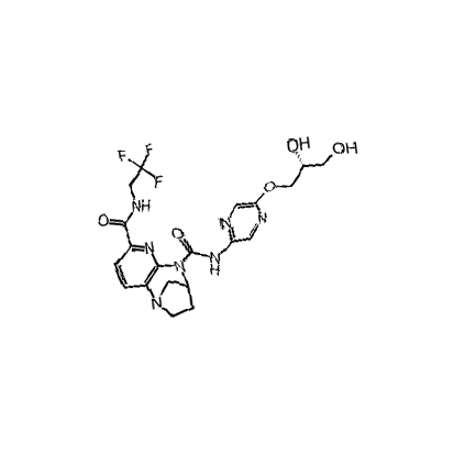 O=C(NCC(F)(F)F)c1ccc2c(n1)N(C(=O)Nc1cnc(OC[C@H](O)CO)cn1)C1CCN2C1